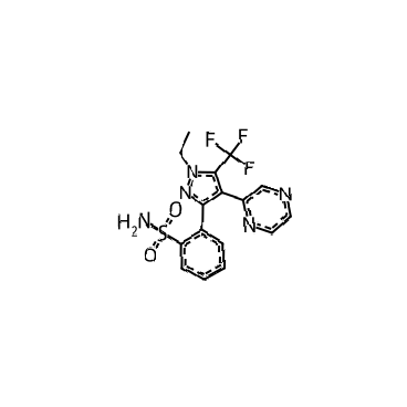 CCn1nc(-c2ccccc2S(N)(=O)=O)c(-c2cnccn2)c1C(F)(F)F